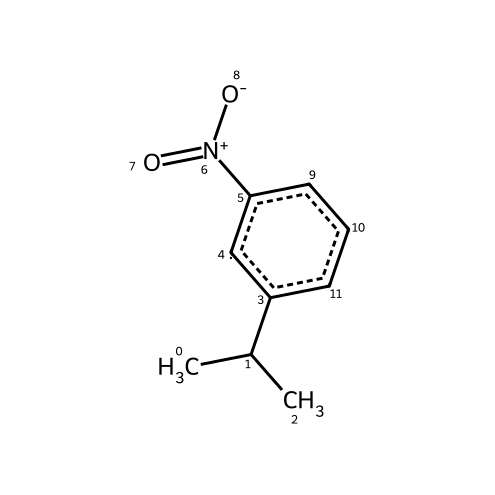 CC(C)c1[c]c([N+](=O)[O-])ccc1